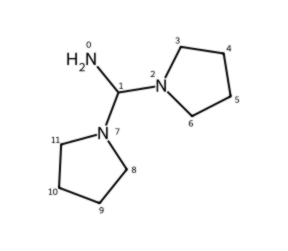 NC(N1CCCC1)N1CCCC1